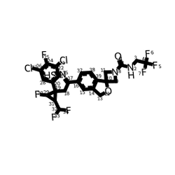 O=C(NCC(F)(F)F)N1CC2(C1)OCc1cc(/C(CC3(c4cc(Cl)c(F)c(Cl)c4)C(F)C3C(F)F)=N/S)ccc12